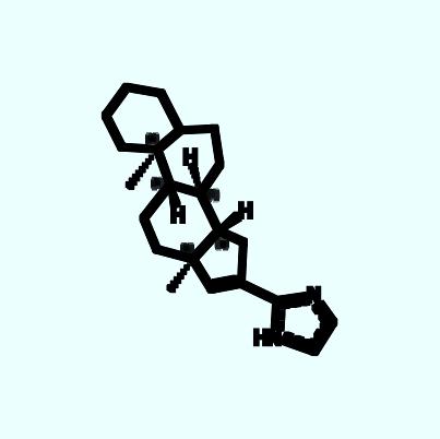 C[C@@]12C=C(c3ncc[nH]3)C[C@H]1[C@@H]1CCC3CCCC[C@]3(C)[C@H]1CC2